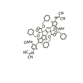 COc1cc(N=C(C#N)C#N)sc1C1=CC2=C(c3sc4cc(-c5sc(N=C(C#N)C#N)cc5OC)sc4c3C2(C(=O)OCc2ccccc2)C(=O)OCc2ccccc2)C1(C(=O)OCc1ccccc1)C(=O)OCc1ccccc1